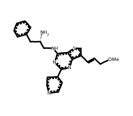 COC/C=C/c1csc2c(NC[C@@H](N)Cc3ccccc3)nc(-c3ccncc3)nc12